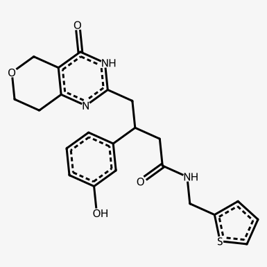 O=C(CC(Cc1nc2c(c(=O)[nH]1)COCC2)c1cccc(O)c1)NCc1cccs1